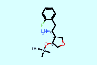 CC(C)(C)[Si](C)(C)O[C@@H]1COC[C@@H]1[C@@H](N)Cc1ccccc1F